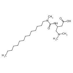 CCCCCCCCCCCCCCN(C)C(=O)NC(CC(=O)O)CN(C)C